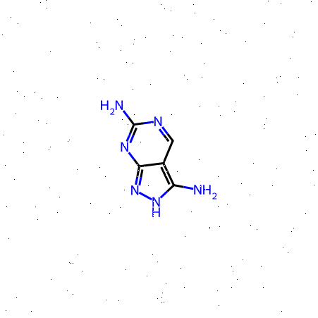 Nc1ncc2c(N)[nH]nc2n1